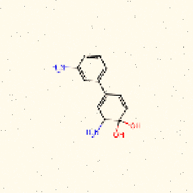 Nc1cccc(C2=CC(N)C(O)(O)C=C2)c1